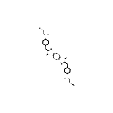 [C-]#[N+]CCN(C)c1ccc(C=C2C(=O)OC3(CCC4(CC3)OC(=O)C(=Cc3ccc(N(C)CCC#N)cc3)C(=O)O4)OC2=O)cc1